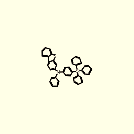 c1ccc(N(c2ccc([Si](c3ccccc3)(c3ccccc3)c3ccccc3)cc2)c2ccc3c(c2)sc2ccccc23)cc1